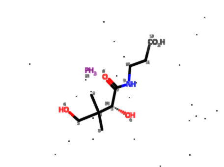 CC(C)(CO)[C@@H](O)C(=O)NCCC(=O)O.P